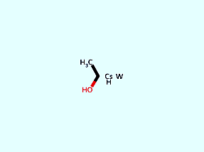 CCO.[CsH].[W]